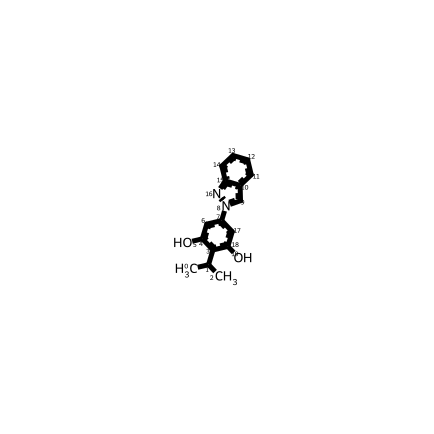 CC(C)c1c(O)cc(-n2cc3ccccc3n2)cc1O